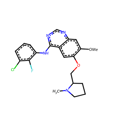 COc1cc2ncnc(Nc3cccc(Cl)c3F)c2cc1OCC1CCCN1C